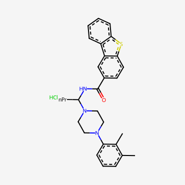 CCCC(NC(=O)c1ccc2sc3ccccc3c2c1)N1CCN(c2cccc(C)c2C)CC1.Cl